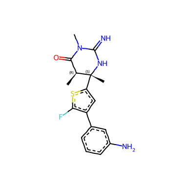 C[C@H]1C(=O)N(C)C(=N)N[C@]1(C)c1cc(-c2cccc(N)c2)c(F)s1